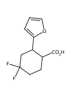 O=C(O)C1CCC(F)(F)CC1c1ccco1